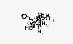 CC(C)C[C@@H](C(=O)NN(CC(C)C)S(C)(=O)=O)[C@H](CCCC1CCCCC1)C(=O)NO